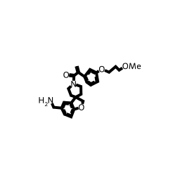 C=C(C(=O)N1CCC2(CC1)COc1ccc(CN)cc12)c1cccc(OCCCOC)c1